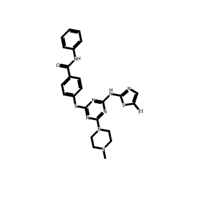 CCc1cnc(Nc2nc(Sc3ccc(C(=O)Nc4ccccc4)cc3)nc(N3CCN(C)CC3)n2)s1